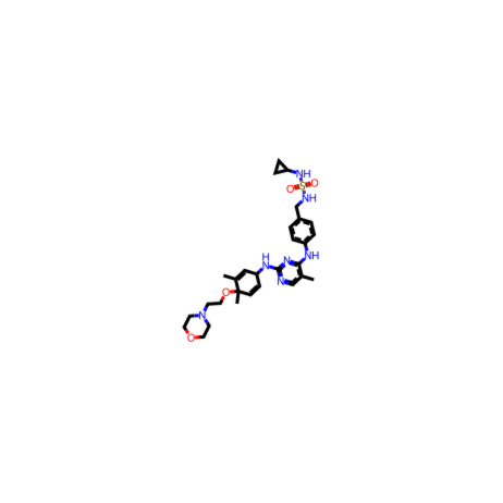 CC1=CC(Nc2ncc(C)c(Nc3ccc(CNS(=O)(=O)NC4CC4)cc3)n2)C=CC1(C)OCCN1CCOCC1